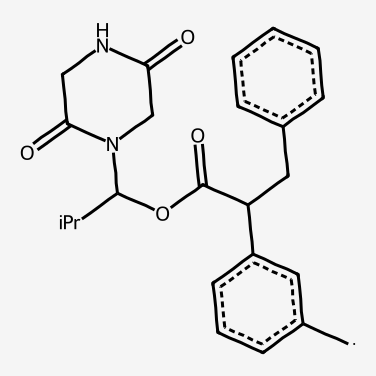 [CH2]c1cccc(C(Cc2ccccc2)C(=O)OC(C(C)C)N2CC(=O)NCC2=O)c1